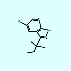 CCC(C)(C)c1n[nH]c2ncc(F)cc12